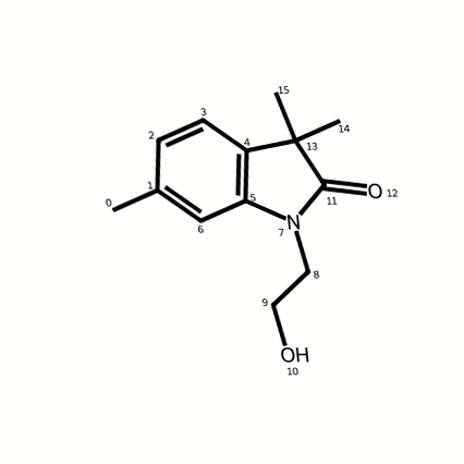 Cc1ccc2c(c1)N(CCO)C(=O)C2(C)C